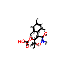 Cc1cc(C)c(C2=C(OC(=O)O)C(C)(C)ON(C)C2=O)c(C)c1